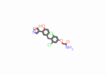 NC(=O)COc1cc(Cl)c(Cc2ccc(O)c(-c3cnoc3)c2)c(Cl)c1